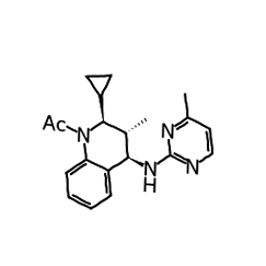 CC(=O)N1c2ccccc2[C@H](Nc2nccc(C)n2)[C@@H](C)[C@@H]1C1CC1